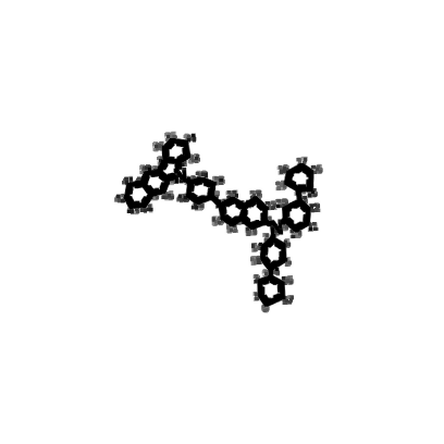 c1ccc(-c2ccc(N(c3cccc(-c4ccccc4)c3)c3ccc4cc(-c5ccc(-n6c7ccccc7c7cc8ccccc8cc76)cc5)ccc4c3)cc2)cc1